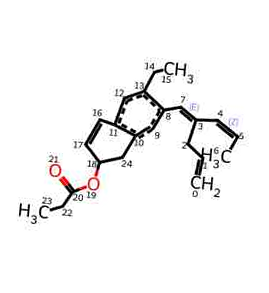 C=CCC(/C=C\C)=C\c1cc2c(cc1CC)C=CC(OC(=O)CC)C2